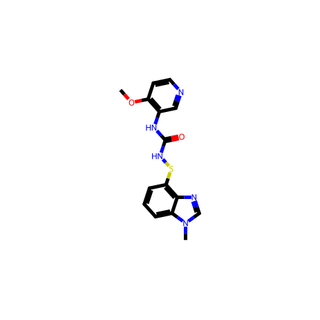 COc1ccncc1NC(=O)NSc1cccc2c1ncn2C